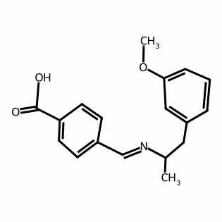 COc1cccc(CC(C)N=Cc2ccc(C(=O)O)cc2)c1